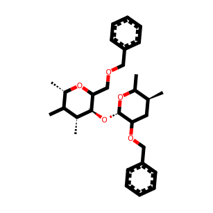 CC1[C@H](C)OC(COCc2ccccc2)[C@@H](O[C@@H]2OC(C)[C@@H](C)CC2OCc2ccccc2)[C@@H]1C